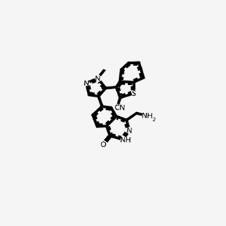 Cn1ncc(-c2ccc3c(=O)[nH]nc(CN)c3c2)c1-c1c(C#N)sc2ccccc12